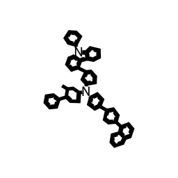 CC1CC(N(c2ccc(-c3ccc(-c4cccc5ccccc45)cc3)cc2)c2cccc(-c3cccc4c3c3ccccc3n4-c3ccccc3)c2)=CC=C1c1ccccc1